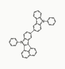 c1ccc(-n2c3c(c4cc(-c5ccc6c(c5)c5ccccc5n6-c5ccccc5)ccc42)-c2cccc4cccc-3c24)cc1